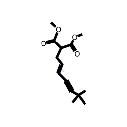 COC(=O)C(C/C=C/C#CC(C)(C)C)C(=O)OC